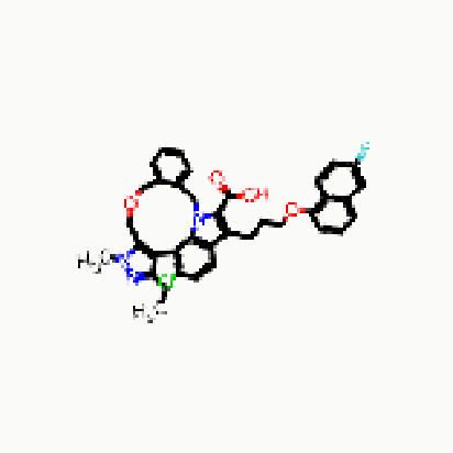 CCc1nn(C)c2c1-c1c(Cl)ccc3c(CCCOc4cccc5cc(F)ccc45)c(C(=O)O)n(c13)Cc1ccccc1COC2